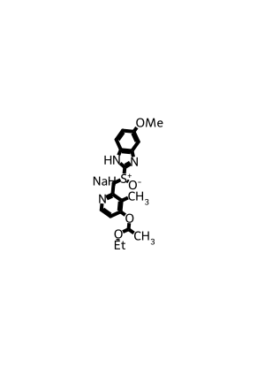 CCOC(C)Oc1ccnc(C[S+]([O-])c2nc3cc(OC)ccc3[nH]2)c1C.[NaH]